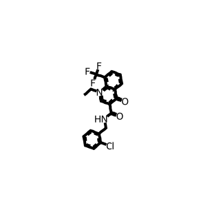 CCn1cc(C(=O)NCc2ccccc2Cl)c(=O)c2cccc(C(F)(F)F)c21